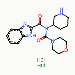 Cl.Cl.O=C(c1nc2ccccc2[nH]1)N(C(=O)N1CCOCC1)C1CCCNC1